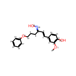 COc1cc(/C=C/C(CCCOc2ccccc2)=N/O)ccc1O